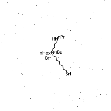 CCCCCC[N+](CCCC)(CCCCCCCCS)CCCCNCCC.[Br-]